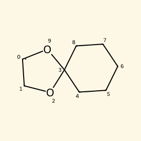 [CH]1COC2(CCCCC2)O1